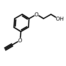 C#COc1cccc(OCCO)c1